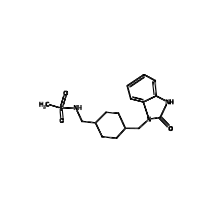 CS(=O)(=O)NCC1CCC(Cn2c(=O)[nH]c3ccccc32)CC1